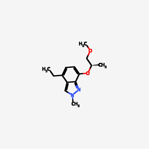 CCc1ccc(O[C@@H](C)COC)c2nn(C)cc12